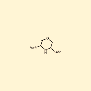 CSC1[CH]OCC(SC)N1